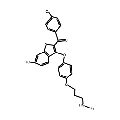 CCNCCCOc1ccc(Oc2c(C(=O)c3ccc(Cl)cc3)sc3cc(O)ccc23)cc1